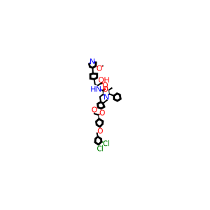 CC[C@@H](c1ccccc1)N1Cc2cc3c(cc2C[C@H]1C(=O)N[C@@H](Cc1ccc(-c2ccncc2OC)cc1)C(=O)O)OC[C@H](c1ccc(OCc2ccc(Cl)c(Cl)c2)cc1)O3